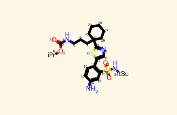 CC(C)OC(=O)NCCCC1(c2ncc(-c3ccc(N)cc3S(=O)(=O)NC(C)(C)C)s2)CCCCC1